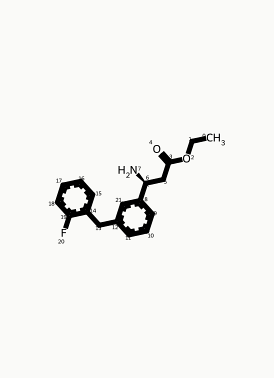 CCOC(=O)C[C@H](N)c1cccc(Cc2ccccc2F)c1